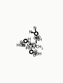 C=C(/N=C(\N=C(/N)Nc1cccc(S(=O)(=O)O)c1)Nc1cccc(S(=O)(=O)O)c1)NCCNS(=O)(=O)c1ccc(C#N)c(C#N)c1